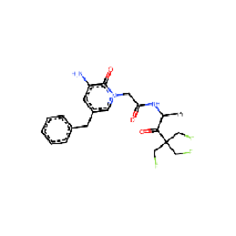 CC(C)C(NC(=O)Cn1cc(Cc2ccccc2)cc(N)c1=O)C(=O)C(CF)(CF)CF